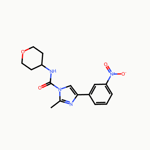 Cc1nc(-c2cccc([N+](=O)[O-])c2)cn1C(=O)NC1CCOCC1